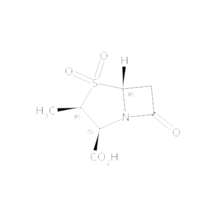 C[C@@H]1[C@H](C(=O)O)N2C(=O)C[C@H]2S1(=O)=O